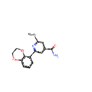 COc1cc(C(N)=O)cc(-c2cccc3c2OCCO3)n1